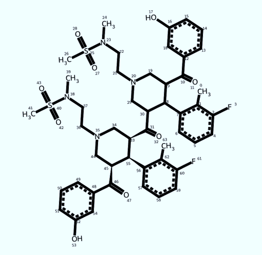 Cc1c(F)cccc1C1C(C(=O)c2cccc(O)c2)CN(CCN(C)S(C)(=O)=O)CC1C(=O)[C@@H]1CN(CCN(C)S(C)(=O)=O)C[C@H](C(=O)c2cccc(O)c2)[C@@H]1c1cccc(F)c1C